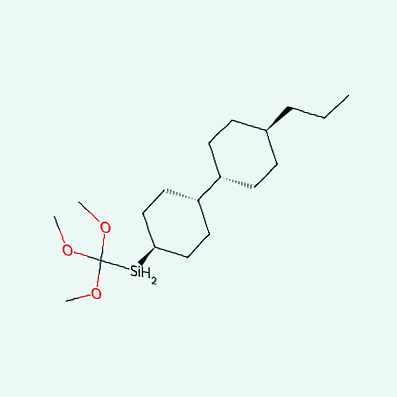 CCC[C@H]1CC[C@H]([C@H]2CC[C@H]([SiH2]C(OC)(OC)OC)CC2)CC1